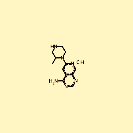 CC1CNCCN1c1cc2c(N)ncnc2cn1.Cl